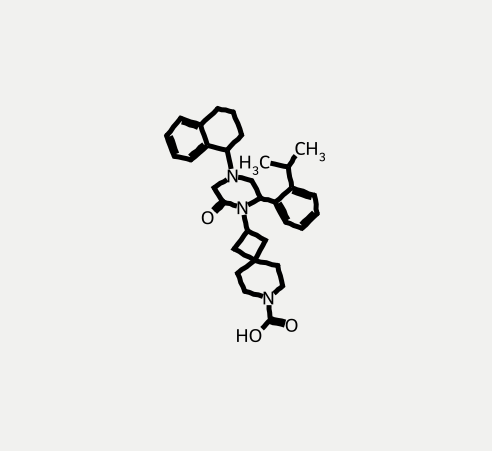 CC(C)c1ccccc1C1CN(C2CCCc3ccccc32)CC(=O)N1C1CC2(CCN(C(=O)O)CC2)C1